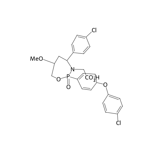 COC1COP(=O)(c2ccc(Oc3ccc(Cl)cc3)cc2)N(CC(=O)O)C(c2ccc(Cl)cc2)C1